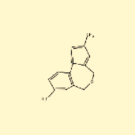 Cc1ccc2c(c1)COCc1cc(C)ccc1-2